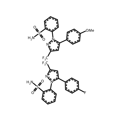 COc1ccc(-c2cc(C(F)(F)F)nn2-c2ccccc2S(N)(=O)=O)cc1.NS(=O)(=O)c1ccccc1-n1nc(C(F)(F)F)cc1-c1ccc(F)cc1